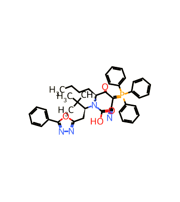 CCCC[C@@H](C(=O)C(C#N)=P(c1ccccc1)(c1ccccc1)c1ccccc1)N(C(=O)O)[C@@H](Cc1nnc(-c2ccccc2)o1)C(C)(C)C